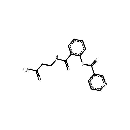 NC(=O)CCNC(=O)c1ccccc1SC(=O)c1cccnc1